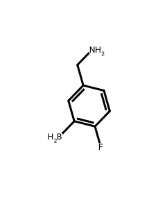 Bc1cc(CN)ccc1F